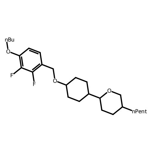 CCCCCC1CCC(C2CCC(OCc3ccc(OCCCC)c(F)c3F)CC2)OC1